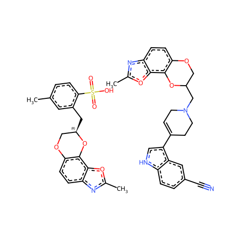 Cc1ccc(S(=O)(=O)O)c(C[C@@H]2COc3ccc4nc(C)oc4c3O2)c1.Cc1nc2ccc3c(c2o1)OC(CN1CC=C(c2c[nH]c4ccc(C#N)cc24)CC1)CO3